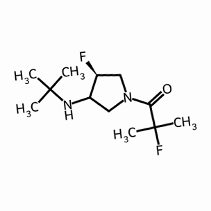 CC(C)(C)NC1CN(C(=O)C(C)(C)F)C[C@@H]1F